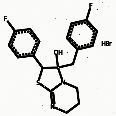 Br.OC1(Cc2ccc(F)cc2)C(c2ccc(F)cc2)SC2=NCCCN21